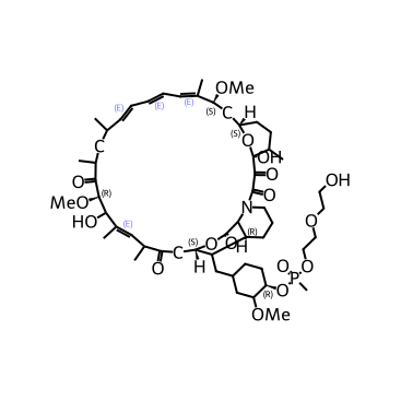 COC1CC(CC2[C@H]3CCCN4C(=O)C(=O)C5(O)O[C@@H](CCC5C)C[C@H](OC)/C(C)=C/C=C/C=C/C(C)CC(C)C(=O)[C@H](OC)C(O)/C(C)=C/C(C)C(=O)C[C@@H]2OC(=O)C34)CC[C@H]1OP(C)(=O)OCCOCCO